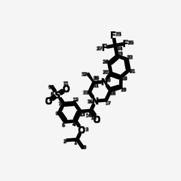 CC(C)Oc1ccc(S(C)(=O)=O)cc1C(=O)N1Cc2cc3ccc(C(F)(F)F)cc3n2[C@H](C)C1